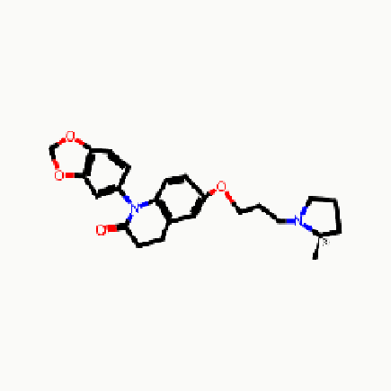 C[C@@H]1CCCN1CCCOc1ccc2c(c1)CCC(=O)N2c1ccc2c(c1)OCO2